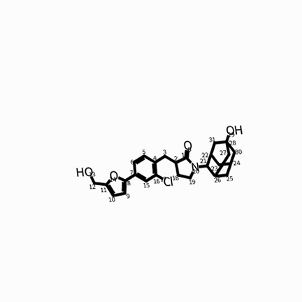 O=C1C(Cc2ccc(-c3ccc(CO)o3)cc2Cl)CCN1C1C2CC3CC1CC(O)(C3)C2